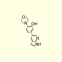 Oc1cc(-c2cnc3[nH]c[c]c3c2)ccc1N1CCOCC1